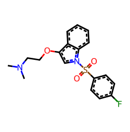 CN(C)CCOc1cn(S(=O)(=O)c2ccc(F)cc2)c2ccccc12